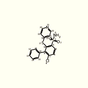 NS(=O)(=O)c1ccc(Cl)c(-c2ccccc2)c1Sc1ccncc1